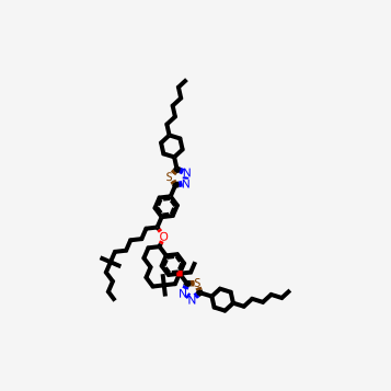 CCCCCCC1CCC(c2nnc(-c3ccc(C(CCCCCC(C)(C)CCCC)OC(CCCCCC(C)(C)CCCC)c4ccc(-c5nnc(C6CCC(CCCCCC)CC6)s5)cc4)cc3)s2)CC1